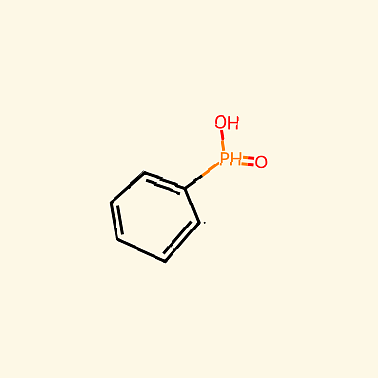 O=[PH](O)c1[c]cccc1